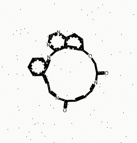 O=C1/C=C\C=N/C(=O)COc2ccc3ncnc(c3c2)\N=c2/cccc/c2=C\C=N/1